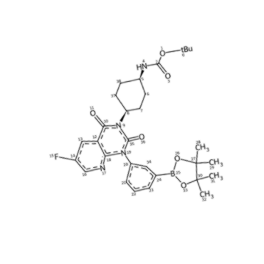 CC(C)(C)OC(=O)N[C@H]1CC[C@@H](n2c(=O)c3cc(F)cnc3n(-c3cccc(B4OC(C)(C)C(C)(C)O4)c3)c2=O)CC1